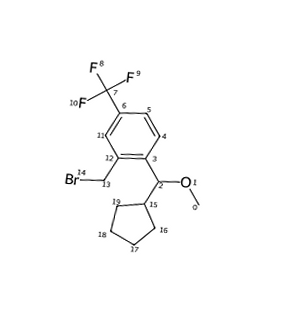 COC(c1ccc(C(F)(F)F)cc1CBr)C1CCCC1